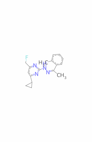 CC(=NNc1nc(CF)cc(C2CC2)n1)c1ccccc1C